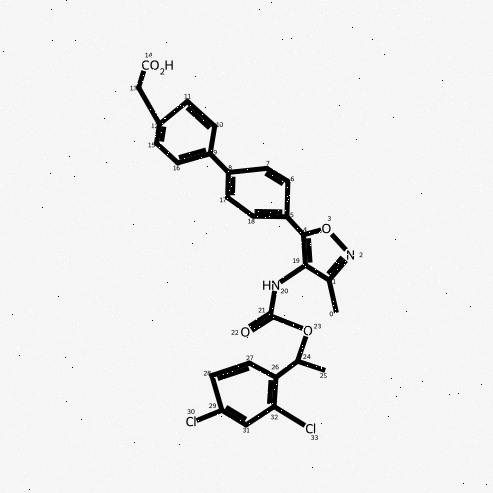 Cc1noc(-c2ccc(-c3ccc(CC(=O)O)cc3)cc2)c1NC(=O)OC(C)c1ccc(Cl)cc1Cl